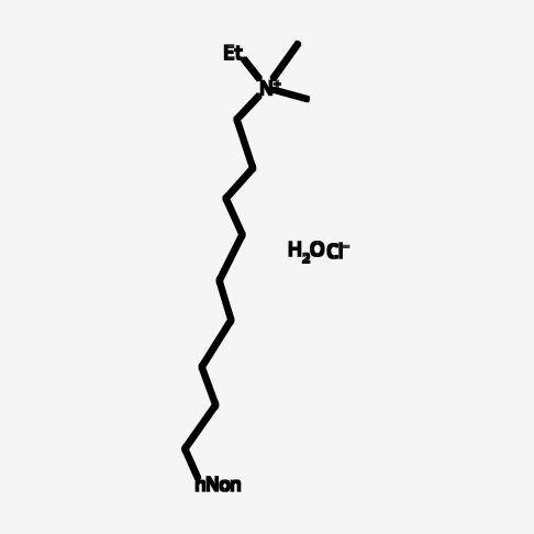 CCCCCCCCCCCCCCCCCC[N+](C)(C)CC.O.[Cl-]